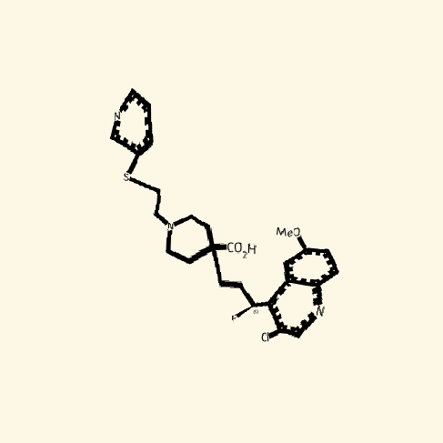 COc1ccc2ncc(Cl)c([C@@H](F)CCC3(C(=O)O)CCN(CCSc4cccnc4)CC3)c2c1